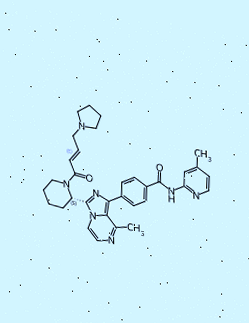 Cc1ccnc(NC(=O)c2ccc(-c3nc([C@@H]4CCCCN4C(=O)/C=C/CN4CCCC4)n4ccnc(C)c34)cc2)c1